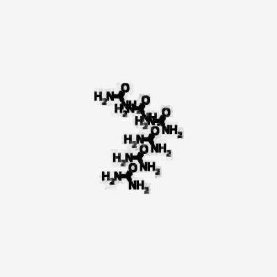 NC(N)=O.NC(N)=O.NC(N)=O.NC(N)=O.NC(N)=O.NC(N)=O